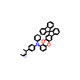 C/C=C\C(C)c1ccc(N(C2=CCCC=C2)c2cccc3c2Oc2cc4c(cc2O3)-c2ccccc2C42c3ccccc3-c3ccccc32)cc1